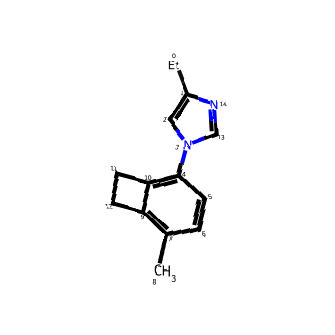 CCc1cn(-c2ccc(C)c3c2CC3)cn1